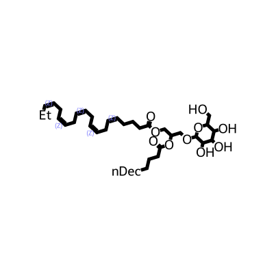 CC/C=C\C/C=C\C/C=C\C/C=C\C/C=C\CCCC(=O)OCC(COC1OC(CO)C(O)C(O)C1O)OC(=O)CCCCCCCCCCCCC